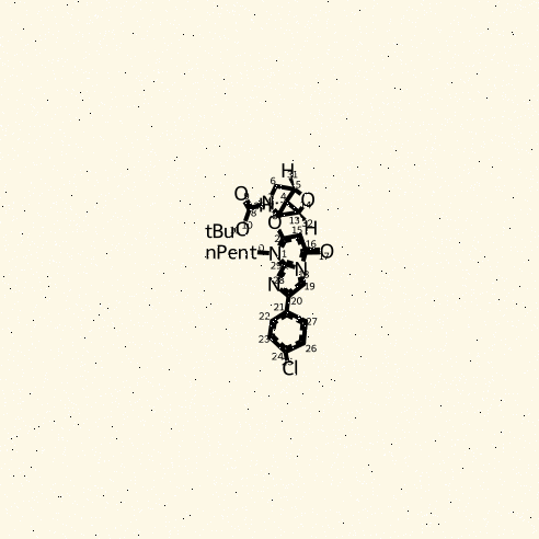 CCCCCn1c(O[C@H]2[C@@H]3CN(C(=O)OC(C)(C)C)C[C@H]2O3)cc(=O)n2cc(-c3ccc(Cl)cc3)nc12